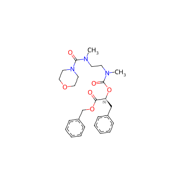 CN(CCN(C)C(=O)N1CCOCC1)C(=O)O[C@@H](Cc1ccccc1)C(=O)OCc1ccccc1